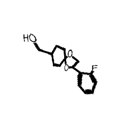 OCC1CCC2(CC1)OCC(c1ccccc1F)O2